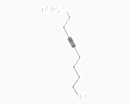 CCCCCCCCCC#CCCCC[C](C)C